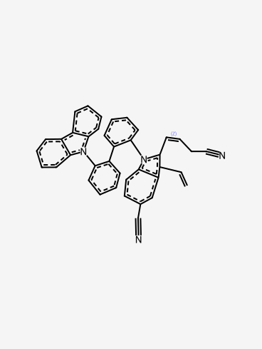 C=Cc1c(/C=C\CC#N)n(-c2ccccc2-c2ccccc2-n2c3ccccc3c3ccccc32)c2ccc(C#N)cc12